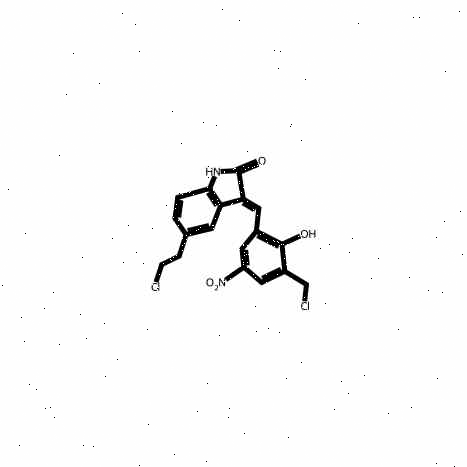 O=C1Nc2ccc(CCCl)cc2C1=Cc1cc([N+](=O)[O-])cc(CCl)c1O